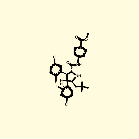 COC(=O)c1ccc(NC(=O)[C@@H]2N[C@@H](CC(C)(C)C)[C@](N)(c3ccc(Cl)cc3F)[C@H]2c2cc(Cl)ccc2F)cc1